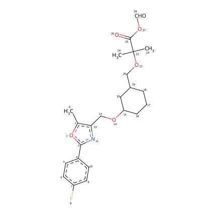 Cc1oc(-c2ccc(F)cc2)nc1COC1CCCC(COC(C)(C)C(=O)OC=O)C1